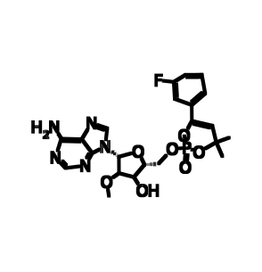 COC1C(O)[C@@H](COP2(=O)OC(c3cccc(F)c3)=CC(C)(C)O2)O[C@H]1n1cnc2c(N)ncnc21